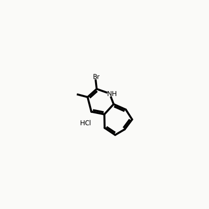 CC1=C(Br)NC2=CC=CC=CC2=C1.Cl